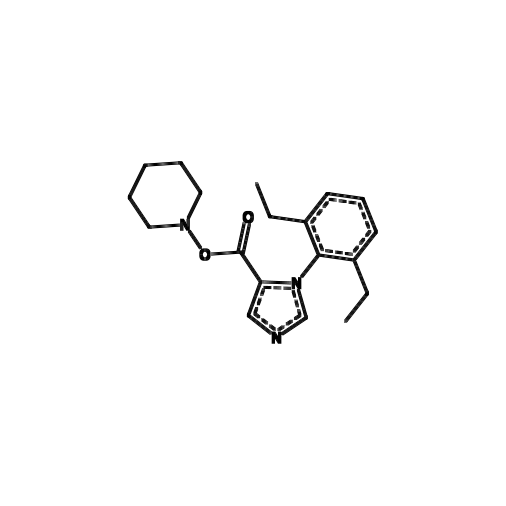 CCc1cccc(CC)c1-n1cncc1C(=O)ON1CCCCC1